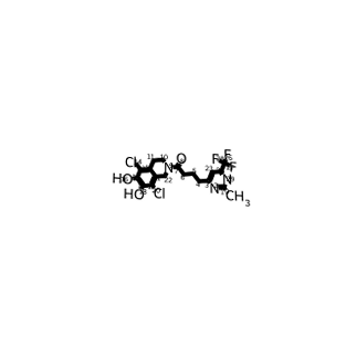 Cc1nc(CCCC(=O)N2CCc3c(Cl)c(O)c(O)c(Cl)c3C2)cc(C(F)(F)F)n1